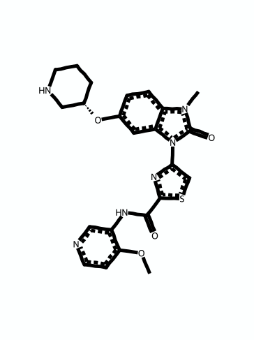 COc1ccncc1NC(=O)c1nc(-n2c(=O)n(C)c3ccc(O[C@H]4CCCNC4)cc32)cs1